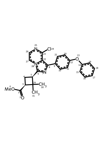 COC(=O)[C@H]1C[C@@H](c2nc(-c3ccc(Oc4ccccc4)cc3)c3c(Cl)nccn23)C1(C)C